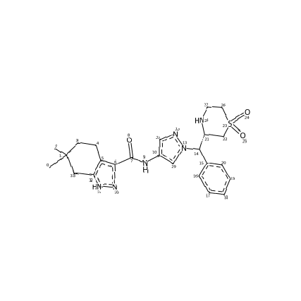 CC1(C)CCc2c(C(=O)Nc3cnn(C(c4ccccc4)C4CS(=O)(=O)CCN4)c3)n[nH]c2C1